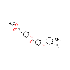 COC(=O)/C=C/c1ccc(OC(=O)c2ccc(OC3CCCC(C)C(C)C3)cc2)cc1